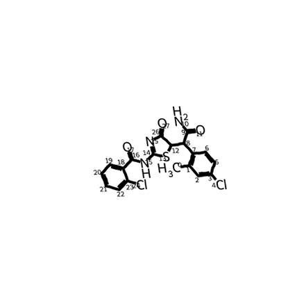 Cc1cc(Cl)ccc1C(C(N)=O)C1SC(NC(=O)c2ccccc2Cl)=NC1=O